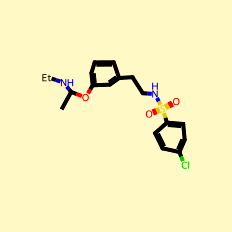 CCNC(C)Oc1cccc(CCNS(=O)(=O)c2ccc(Cl)cc2)c1